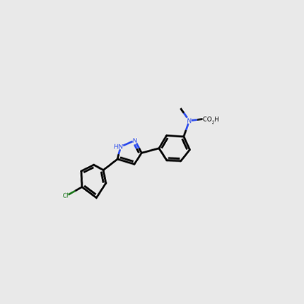 CN(C(=O)O)c1cccc(-c2cc(-c3ccc(Cl)cc3)[nH]n2)c1